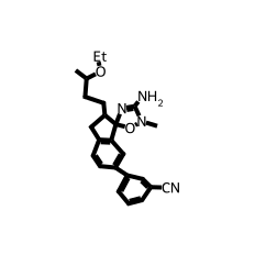 CCOC(C)CCC1Cc2ccc(-c3cccc(C#N)c3)cc2C12N=C(N)N(C)O2